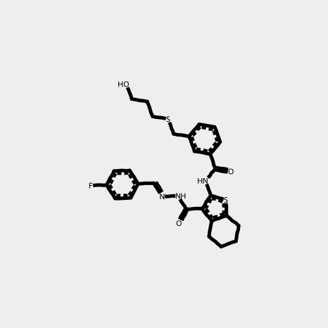 O=C(Nc1sc2c(c1C(=O)N/N=C/c1ccc(F)cc1)CCCC2)c1cccc(CSCCCO)c1